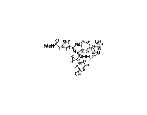 CNC(=O)Cn1cc(-c2nc(NC3(c4cccc(Cl)c4)CC3)c3cc(-c4c(C)noc4C)ccc3n2)cn1